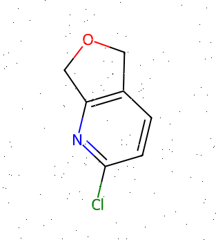 Clc1ccc2c(n1)COC2